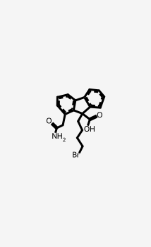 NC(=O)Cc1cccc2c1C(CCCCBr)(C(=O)O)c1ccccc1-2